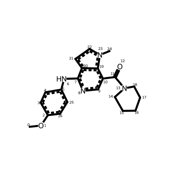 COc1ccc(Nc2ncc(C(=O)N3CCCCC3)c3c2ccn3C)cc1